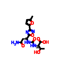 Cc1ccc(-c2noc([C@H](CC(N)=O)NC(=O)N[C@H](C(=O)O)C(C)O)n2)o1